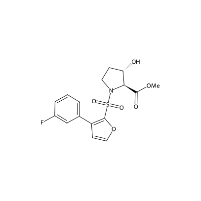 COC(=O)[C@@H]1[C@@H](O)CCN1S(=O)(=O)c1occc1-c1cccc(F)c1